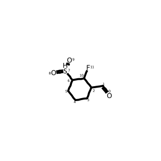 O=CC1CCCC([SH](=O)=O)C1F